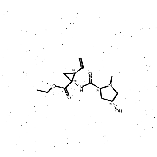 C=C[C@@H]1C[C@]1(NC(=O)[C@@H]1C[C@@H](O)CN1C)C(=O)OCC